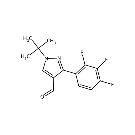 CC(C)(C)n1cc(C=O)c(-c2ccc(F)c(F)c2F)n1